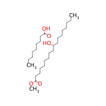 CCCCCCCCC(=O)O.CCCCCCCCC(O)CCCCCCCCC(=O)OC